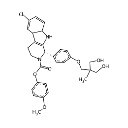 COc1ccc(OC(=O)N2CCC3=C(NC4C=CC(Cl)=CC34)[C@@H]2c2ccc(OCC(C)(CO)CO)cc2)cc1